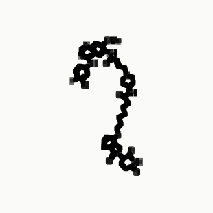 COc1cc2ncnc(Nc3ccc(F)c(Cl)c3)c2cc1NC(=O)C=CCN1CCC(NC(=O)CCCCCCSc2cccc3c2CN(C2CCC(=O)NC2=O)C3=O)CC1